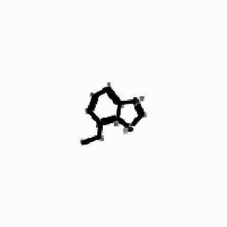 C[CH]c1cccc2ncsc12